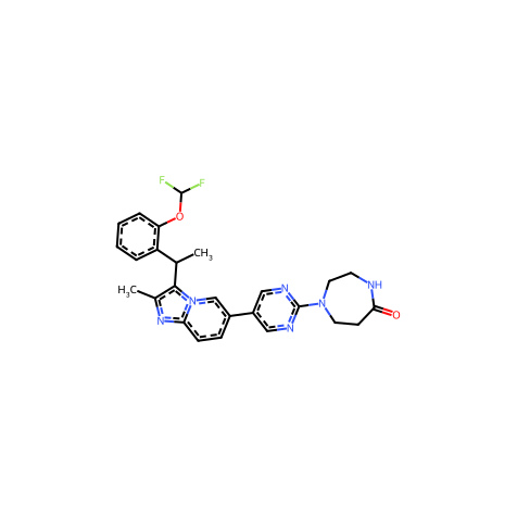 Cc1nc2ccc(-c3cnc(N4CCNC(=O)CC4)nc3)cn2c1C(C)c1ccccc1OC(F)F